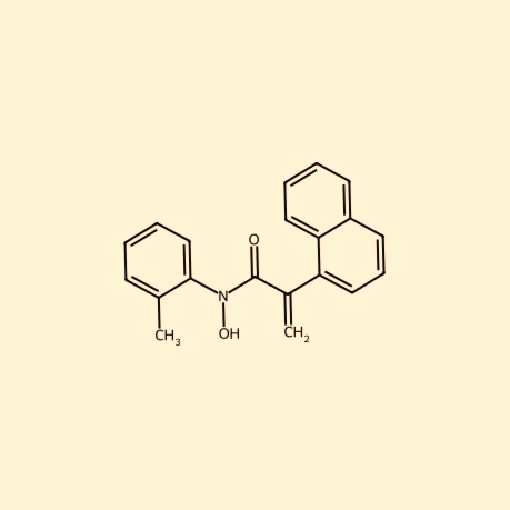 C=C(C(=O)N(O)c1ccccc1C)c1cccc2ccccc12